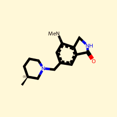 CNc1cc(CN2CCC[C@H](C)C2)cc2c1CNC2=O